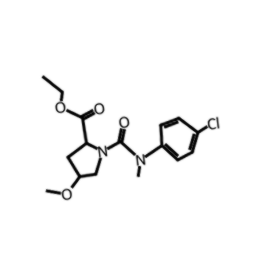 CCOC(=O)C1CC(OC)CN1C(=O)N(C)c1ccc(Cl)cc1